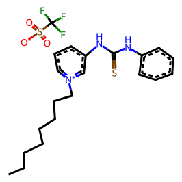 CCCCCCCC[n+]1cccc(NC(=S)Nc2ccccc2)c1.O=S(=O)([O-])C(F)(F)F